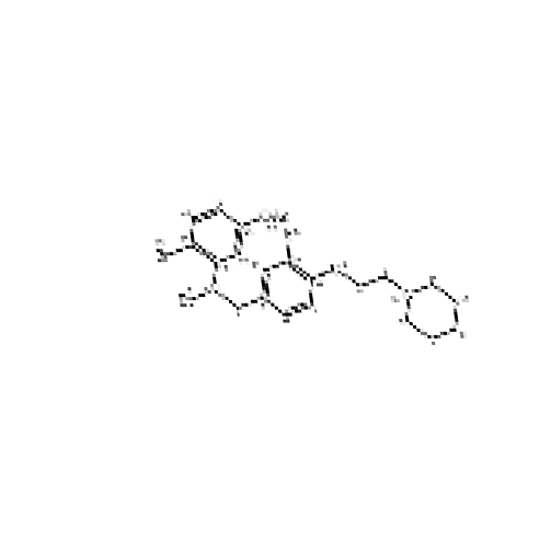 CCN(Cc1ccc(OCCN2CCCCC2)c(F)c1)c1cc(OC(C)=O)ccc1Br